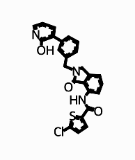 O=C(Nc1cccc2c1C(=O)N(Cc1cccc(-c3cccnc3O)c1)C2)c1ccc(Cl)s1